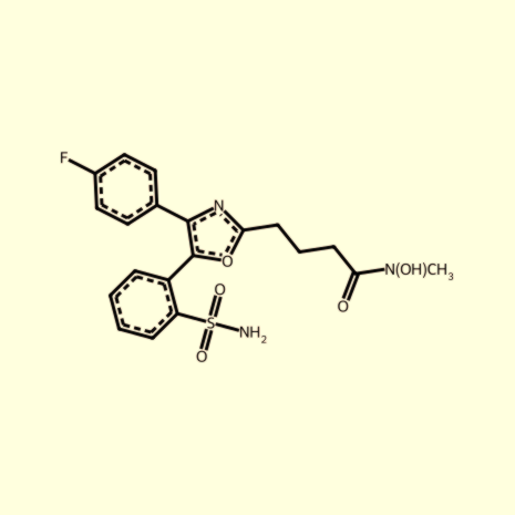 CN(O)C(=O)CCCc1nc(-c2ccc(F)cc2)c(-c2ccccc2S(N)(=O)=O)o1